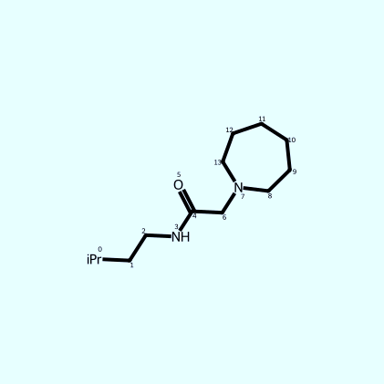 CC(C)CCNC(=O)CN1CCCCCC1